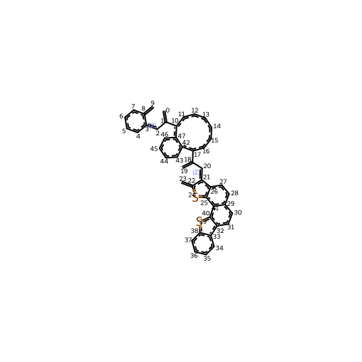 C=C(/C=c1/ccccc1=C)c1ccccccc(C(=C)/C=c2\c(=C)sc3c2ccc2ccc4c5ccccc5sc4c23)c2ccccc12